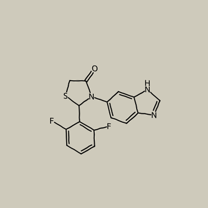 O=C1CSC(c2c(F)cccc2F)N1c1ccc2nc[nH]c2c1